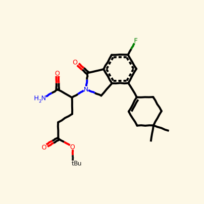 CC1(C)CC=C(c2cc(F)cc3c2CN(C(CCC(=O)OC(C)(C)C)C(N)=O)C3=O)CC1